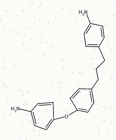 Nc1ccc(CCCc2ccc(Oc3ccc(N)cc3)cc2)cc1